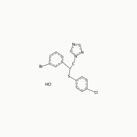 Cl.Clc1ccc(SC(Cn2cncn2)c2cccc(Br)c2)cc1